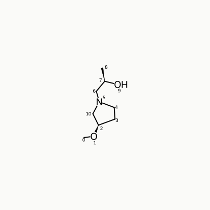 CO[C@@H]1CCN(C[C@@H](C)O)C1